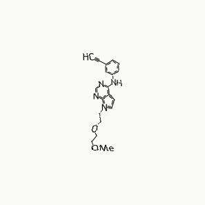 C#Cc1cccc(Nc2ncnc3c2ccn3CCOCCOC)c1